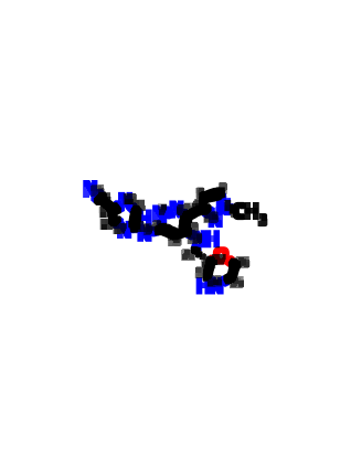 Cn1ccc(-c2nnc(Nc3cnc(C#N)cn3)cc2NC[C@H]2CNCCO2)n1